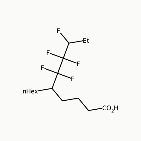 CCCCCCC(CCCC(=O)O)C(F)(F)C(F)(F)C(F)CC